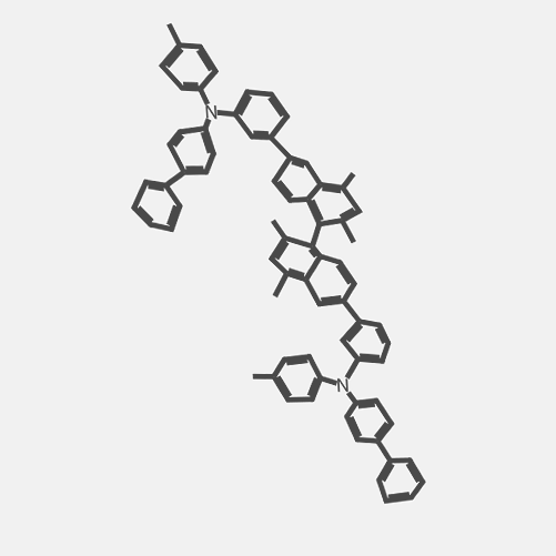 Cc1ccc(N(c2ccc(-c3ccccc3)cc2)c2cccc(-c3ccc4c(-c5c(C)cc(C)c6cc(-c7cccc(N(c8ccc(C)cc8)c8ccc(-c9ccccc9)cc8)c7)ccc56)c(C)cc(C)c4c3)c2)cc1